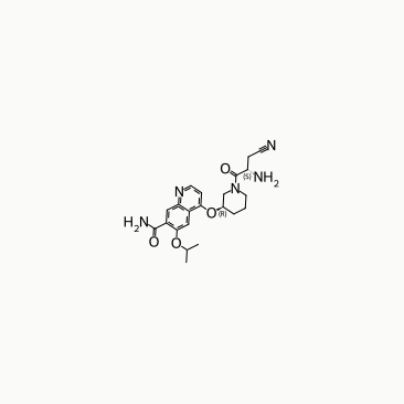 CC(C)Oc1cc2c(O[C@@H]3CCCN(C(=O)[C@@H](N)CC#N)C3)ccnc2cc1C(N)=O